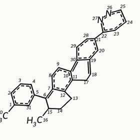 Cc1cccc(C2=c3ccc4c(c3CCC2C)CC=c2cc(-c3cccnn3)ccc2=4)c1